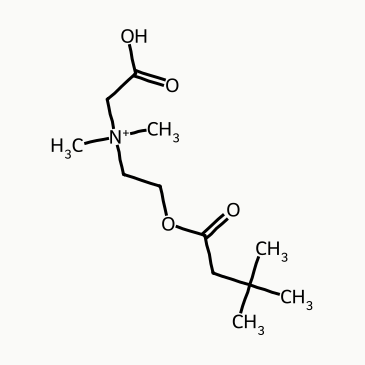 CC(C)(C)CC(=O)OCC[N+](C)(C)CC(=O)O